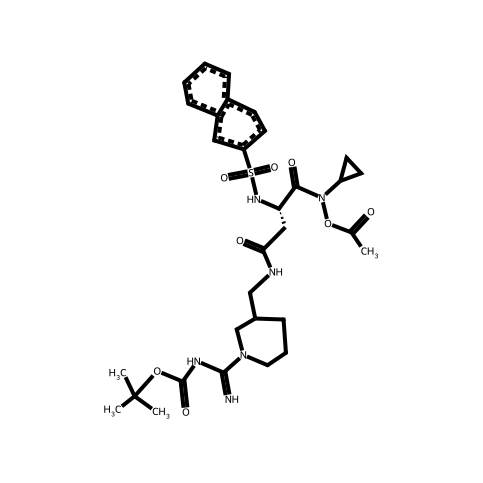 CC(=O)ON(C(=O)[C@H](CC(=O)NCC1CCCN(C(=N)NC(=O)OC(C)(C)C)C1)NS(=O)(=O)c1ccc2ccccc2c1)C1CC1